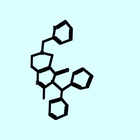 Cc1nc2c(c(=O)n1C(c1ccccc1)c1ccccc1)CN(Cc1ccccn1)CC2